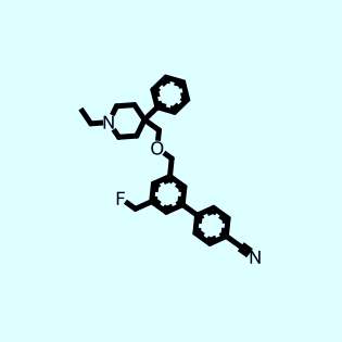 CCN1CCC(COCc2cc(CF)cc(-c3ccc(C#N)cc3)c2)(c2ccccc2)CC1